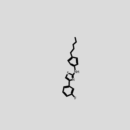 CCCCCc1ccc(Nc2nc(-c3cccc(F)c3)cs2)cc1